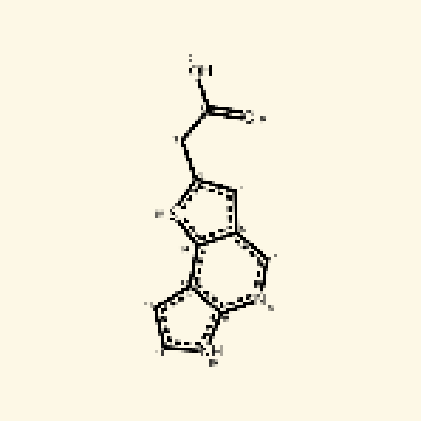 O=C(O)Cc1cc2cnc3[nH]ccc3c2s1